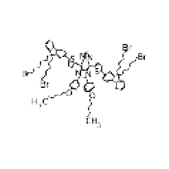 CCCCCCOc1ccc(-c2nc3c(-c4ccc(-c5ccc6c(c5)C(CCCCCCBr)(CCCCCCBr)c5ccccc5-6)s4)c4nsnc4c(-c4ccc(-c5ccc6c(c5)C(CCCCCCBr)(CCCCCCBr)c5ccccc5-6)s4)c3nc2-c2ccc(OCCCCCC)cc2)cc1